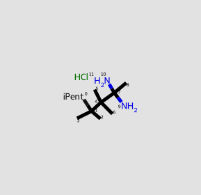 CCCC(C)C(C)(C)C(C)(C)C(C)(N)N.Cl